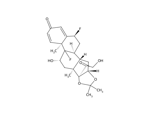 CC1(C)O[C@H]2C[C@H]3[C@@H]4C[C@H](F)C5=CC(=O)C=C[C@]5(C)C4(F)[C@@H](O)C[C@]3(C)[C@]2(C(=O)CO)O1